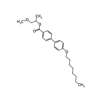 CCCCCCCCOc1ccc(-c2ccc(C(=O)OC(C)COC)cc2)cc1